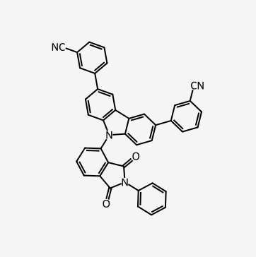 N#Cc1cccc(-c2ccc3c(c2)c2cc(-c4cccc(C#N)c4)ccc2n3-c2cccc3c2C(=O)N(c2ccccc2)C3=O)c1